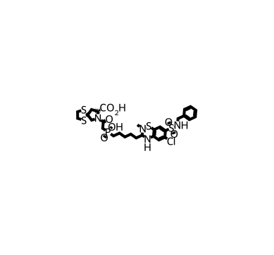 CN1Sc2cc(S(=O)(=O)NCc3ccccc3)c(Cl)cc2NC1CCCCCP(=O)(O)CC(=O)N1CC2(C[C@H]1C(=O)O)SCCS2